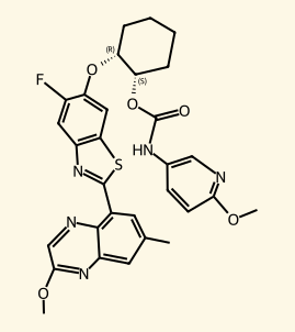 COc1ccc(NC(=O)O[C@H]2CCCC[C@H]2Oc2cc3sc(-c4cc(C)cc5nc(OC)cnc45)nc3cc2F)cn1